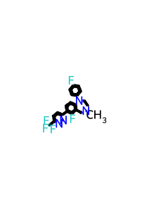 CN1CCN(c2ccc(F)cc2)c2ccc(-c3ccc(C(F)(F)F)nn3)c(F)c2C1